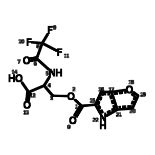 O=C(OCC(NC(=O)C(F)(F)F)C(=O)O)c1cc2occc2[nH]1